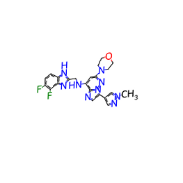 Cn1cc(-c2cnc3c(NCc4nc5c(F)c(F)ccc5[nH]4)cc(N4CCOCC4)nn23)cn1